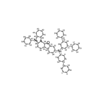 c1ccc(-c2ccc(N(c3cc(-c4ccccc4)cc(-c4ccccc4)c3)c3ccc4c(c3)oc3c4ccc4c3c3ccccc3n4-c3ccccc3)cc2)cc1